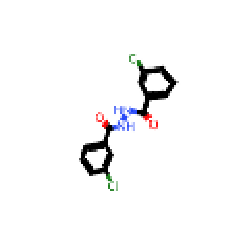 O=C(NNC(=O)c1cccc(Cl)c1)c1cccc(Cl)c1